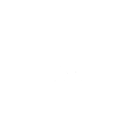 Cc1c(Cl)c(O)c(C(C)C)c(F)c1Cl